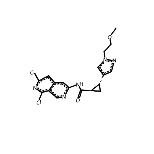 COCCn1cc([C@@H]2C[C@H]2C(=O)Nc2cc3cc(Cl)nc(Cl)c3cn2)cn1